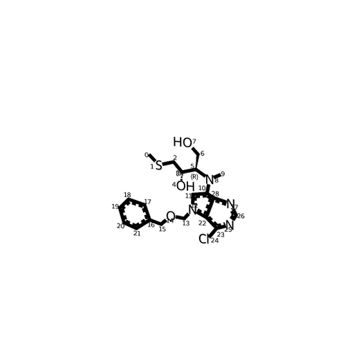 CSC[C@@H](O)[C@@H](CO)N(C)c1cn(COCc2ccccc2)c2c(Cl)ncnc12